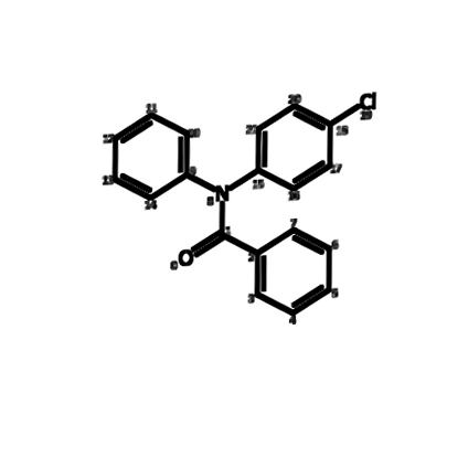 O=C(c1ccccc1)N(c1cc[c]cc1)c1ccc(Cl)cc1